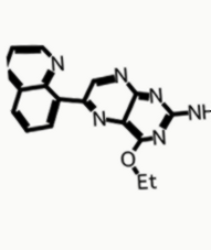 CCOc1nc(N)nc2ncc(-c3cccc4cccnc34)nc12